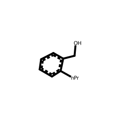 [CH2]CCc1ccccc1CO